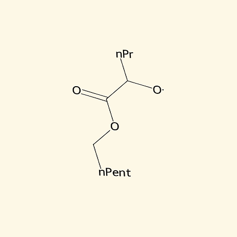 CCCCCCOC(=O)C([O])CCC